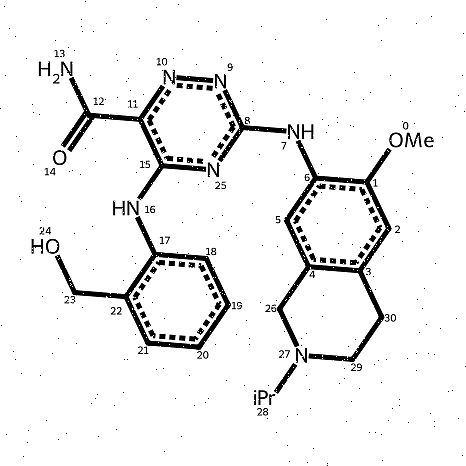 COc1cc2c(cc1Nc1nnc(C(N)=O)c(Nc3ccccc3CO)n1)CN(C(C)C)CC2